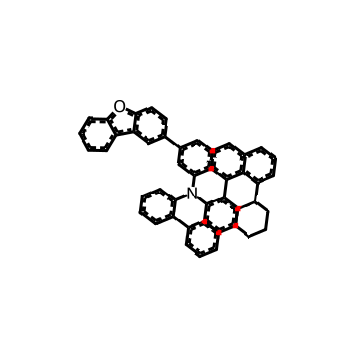 c1ccc(-c2ccccc2N(c2cccc(-c3ccc4oc5ccccc5c4c3)c2)c2ccccc2-c2cccc3cccc(C4CCCCC4)c23)cc1